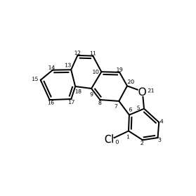 Clc1cccc2c1C1C=c3c(ccc4ccccc34)=CC1O2